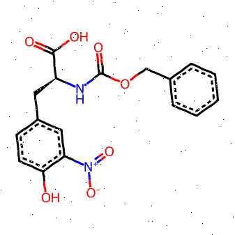 O=C(N[C@@H](Cc1ccc(O)c([N+](=O)[O-])c1)C(=O)O)OCc1ccccc1